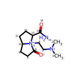 CN(C)CC[N+]12C(=O)CCC1CCC2C(N)=O